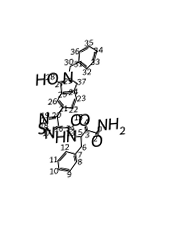 NC(=O)C(=O)C(Cc1ccccc1)NC(=O)c1nsnc1-c1ccc2c(c1)C(O)N(Cc1ccccc1)C2